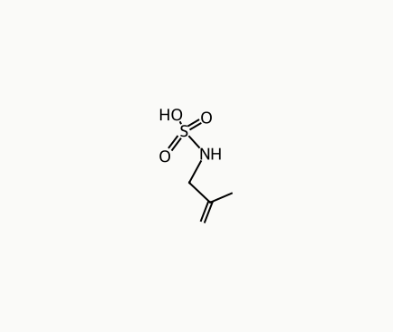 C=C(C)CNS(=O)(=O)O